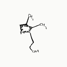 Cc1[c]nn(CCO)c1C